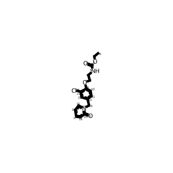 CCOC(=O)NCCOc1ccc(Cn2ccccc2=O)cc1Cl